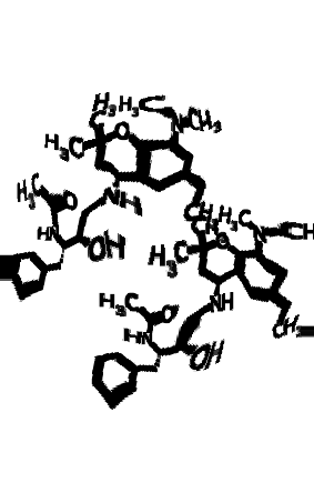 CCc1cc2c(c(N(C)C)c1)OC(C)(C)C[C@@H]2NC[C@@H](O)[C@H](Cc1ccccc1)NC(C)=O.CCc1cc2c(c(N(C)C)c1)OC(C)(C)C[C@H]2NC[C@@H](O)[C@H](Cc1ccccc1)NC(C)=O